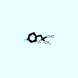 CC(C)([CH]c1ccc(F)cc1)C=O